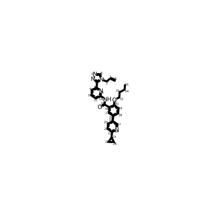 C=CCn1cnnc1-c1cccc(NC(=O)c2cc(-c3ccc(C4CC4)nc3)ccc2OCCCC)n1